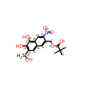 CC(C)(C)C(=O)OCc1cc2cc([SiH2]O)c(O)c(O)c2cc1[N+](=O)[O-]